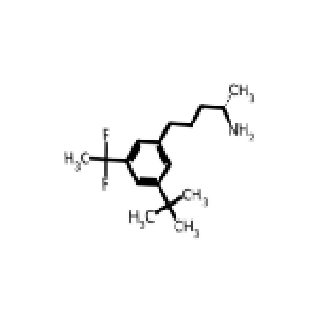 C[C@H](N)CCCc1cc(C(C)(C)C)cc(C(C)(F)F)c1